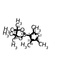 Cc1sc(C)c(B2OC(C)(C)C(C)(C)O2)c1C